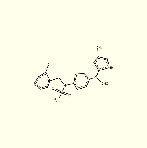 Cc1cc(N(C=O)c2ccc(N(Cc3ccccc3Cl)S(C)(=O)=O)cc2)[nH]n1